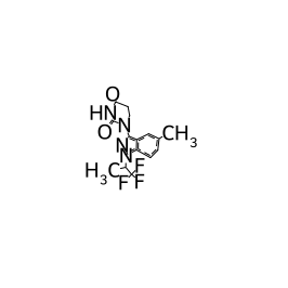 Cc1ccc2c(c1)c(N1CCC(=O)NC1=O)nn2C(C)C(F)(F)F